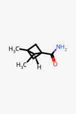 C[C@@H]1C2(C)CC1(C(N)=O)C2